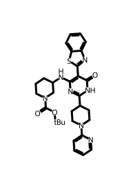 CC(C)(C)OC(=O)N1CCCC(Nc2nc(C3CCN(c4ccccn4)CC3)[nH]c(=O)c2-c2nc3ccccc3s2)C1